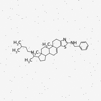 CC(C)CCCC(C)C1CCC2C3CC=C4c5sc(NCc6ccccc6)nc5CCC4(C)C3CCC12C